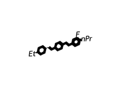 CCCc1ccc(CCC2=CCC(CC[C@H]3CC[C@H](CC)CC3)CC2)cc1F